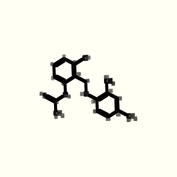 CC(=S)Oc1cccc(Cl)c1COc1ccc(C)cc1C